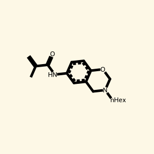 C=C(C)C(=O)Nc1ccc2c(c1)CN(CCCCCC)CO2